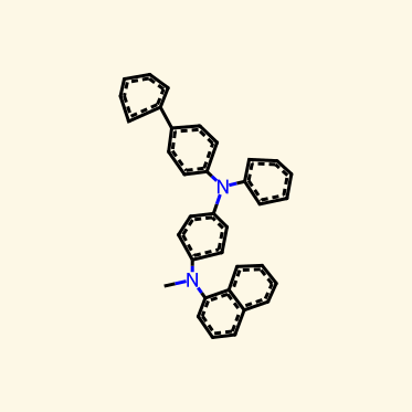 CN(c1ccc(N(c2ccccc2)c2ccc(-c3ccccc3)cc2)cc1)c1cccc2ccccc12